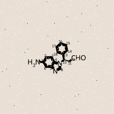 Nc1ccc2c(c1)ncn2[C@H](CC=O)c1ccccc1